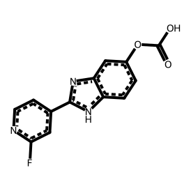 O=C(O)Oc1ccc2[nH]c(-c3ccnc(F)c3)nc2c1